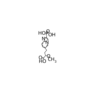 COC(CCc1ccc2nc(P(=O)(O)O)cn2c1)C(=O)O